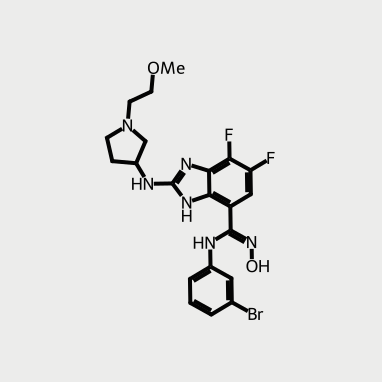 COCCN1CCC(Nc2nc3c(F)c(F)cc(C(=NO)Nc4cccc(Br)c4)c3[nH]2)C1